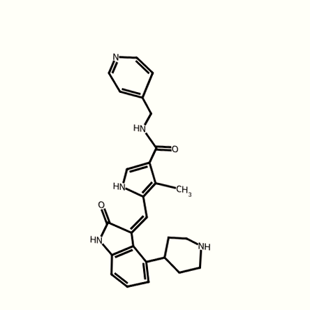 Cc1c(C(=O)NCc2ccncc2)c[nH]c1C=C1C(=O)Nc2cccc(C3CCNCC3)c21